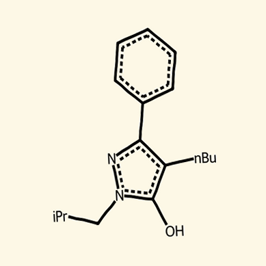 CCCCc1c(-c2ccccc2)nn(CC(C)C)c1O